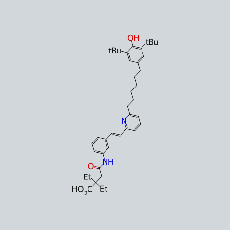 CCC(CC)(CC(=O)Nc1cccc(/C=C/c2cccc(CCCCCCc3cc(C(C)(C)C)c(O)c(C(C)(C)C)c3)n2)c1)C(=O)O